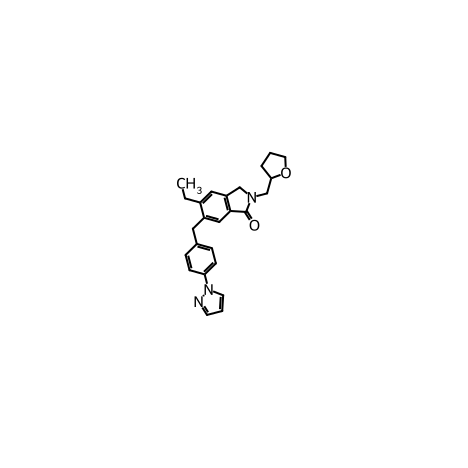 CCc1cc2c(cc1Cc1ccc(-n3cccn3)cc1)C(=O)N(CC1CCCO1)C2